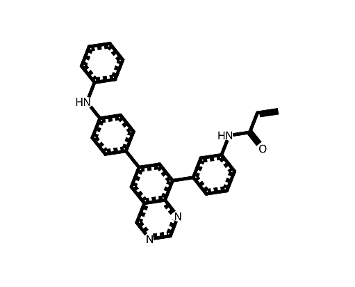 C=CC(=O)Nc1cccc(-c2cc(-c3ccc(Nc4ccccc4)cc3)cc3cncnc23)c1